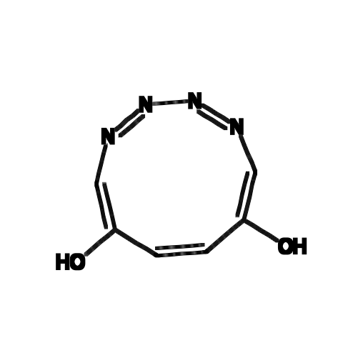 Oc1ccc(O)cnnnnc1